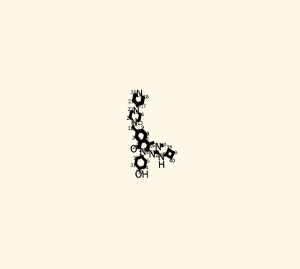 C=N/C(=N\c1c(C)c2ccc(CN3CCN(c4ccncc4)CC3)cc2c(=O)n1C1CCC(O)CC1)NC1CCC1